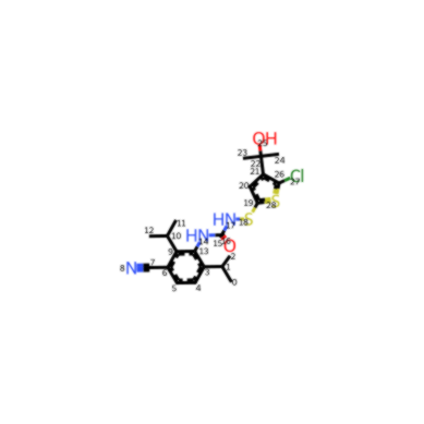 CC(C)c1ccc(C#N)c(C(C)C)c1NC(=O)NSc1cc(C(C)(C)O)c(Cl)s1